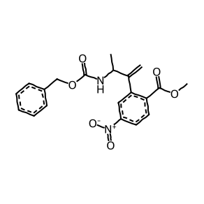 C=C(c1cc([N+](=O)[O-])ccc1C(=O)OC)C(C)NC(=O)OCc1ccccc1